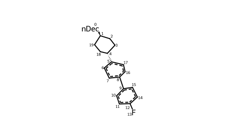 CCCCCCCCCC[C@H]1CC[C@H](c2ccc(-c3ccc(F)cc3)cc2)CC1